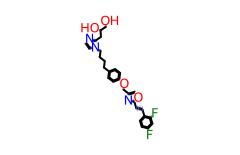 OCC(O)Cc1nccn1CCCCc1ccc(OCc2coc(/C=C/c3ccc(F)cc3F)n2)cc1